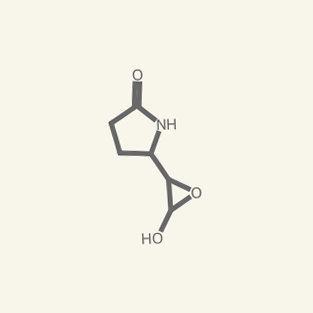 O=C1CCC(C2OC2O)N1